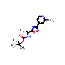 Cc1cc(-c2noc(C(C)NC(=O)OC(C)(C)C)n2)ccn1